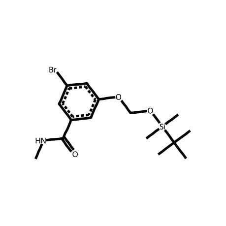 CNC(=O)c1cc(Br)cc(OCO[Si](C)(C)C(C)(C)C)c1